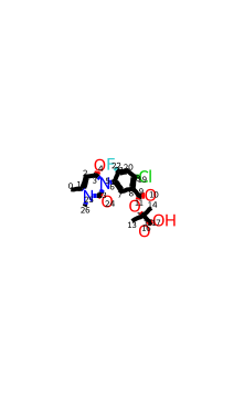 Cc1cc(=O)n(-c2cc(C(=O)OC(C)(C)C(=O)O)c(Cl)cc2F)c(=O)n1C